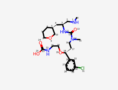 CNC[C@H](C[C@H]1CCCOC1)NC(=O)N(C)CC[C@@H](OCCNC(=O)O)c1cccc(Cl)c1